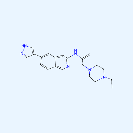 C=C(CN1CCN(CC)CC1)Nc1cc2cc(-c3cn[nH]c3)ccc2cn1